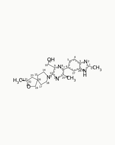 Cc1nc2ccc(-c3nc(CO)c(N4CCC5(CC4)CO[C@@H](C)C5)nc3C)cc2[nH]1